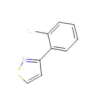 N#Cc1ccccc1-c1ccsn1